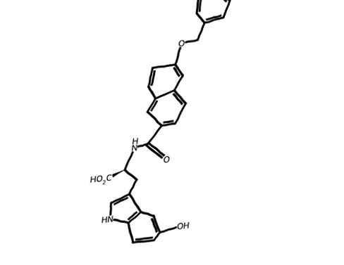 O=C(N[C@@H](Cc1c[nH]c2ccc(O)cc12)C(=O)O)c1ccc2cc(OCc3ccccc3)ccc2c1